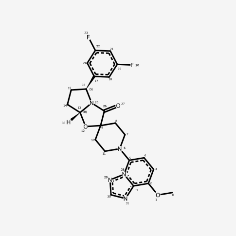 COc1ccc(N2CCC3(CC2)O[C@@H]2CC[C@@H](c4cc(F)cc(F)c4)N2C3=O)n2ncnc12